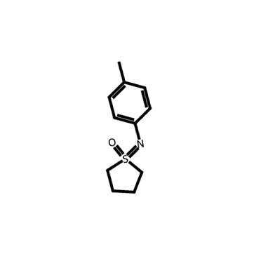 Cc1ccc(N=S2(=O)CCCC2)cc1